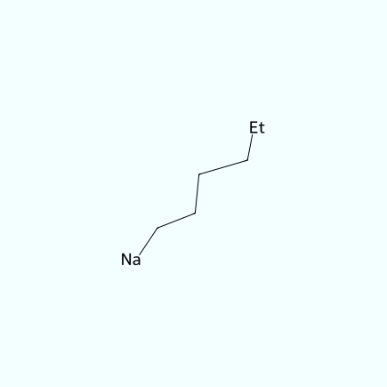 [CH2]CCCC[CH2][Na]